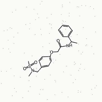 CC(NC(=O)COc1ccc(CN(C)S(C)(=O)=O)cc1)c1ccccc1